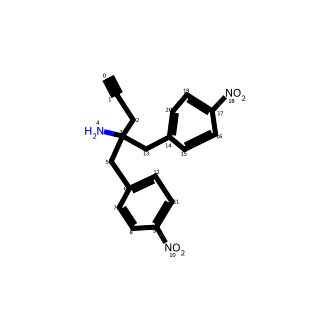 C#CCC(N)(Cc1ccc([N+](=O)[O-])cc1)Cc1ccc([N+](=O)[O-])cc1